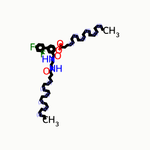 CC/C=C\C/C=C\C/C=C\C/C=C\C/C=C\C/C=C\CCC(=O)NCCNC(=O)c1cc(-c2ccc(F)cc2F)ccc1OC(=O)CC/C=C\C/C=C\C/C=C\C/C=C\C/C=C\C/C=C\CC